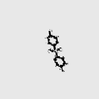 Cc1cc[c]([Ge]([Cl])([Cl])[c]2ccc(C)cc2)cc1